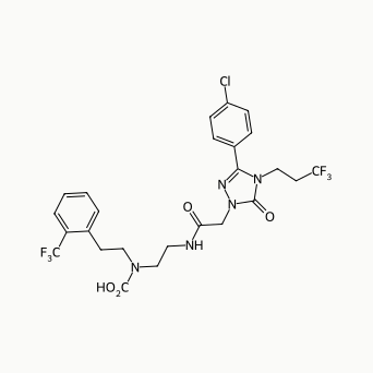 O=C(Cn1nc(-c2ccc(Cl)cc2)n(CCC(F)(F)F)c1=O)NCCN(CCc1ccccc1C(F)(F)F)C(=O)O